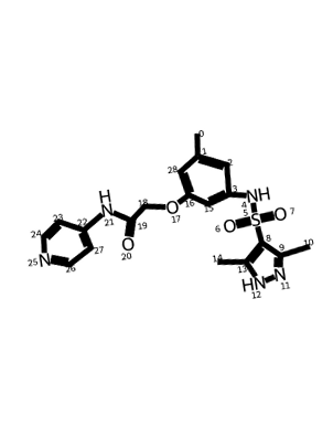 Cc1cc(NS(=O)(=O)c2c(C)n[nH]c2C)cc(OCC(=O)Nc2ccncc2)c1